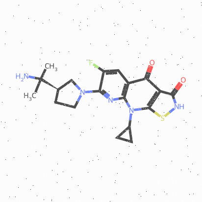 CC(C)(N)[C@@H]1CCN(c2nc3c(cc2F)c(=O)c2c(=O)[nH]sc2n3C2CC2)C1